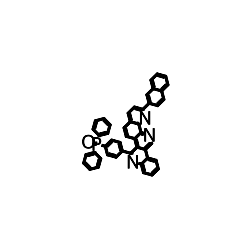 O=P(c1ccccc1)(c1ccccc1)c1ccc(-c2nc3ccccc3c3cnc4c(ccc5ccc(-c6ccc7ccccc7c6)nc54)c23)cc1